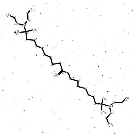 CCO[SiH](OCC)C(C)(C)CCCCCCCCC(=O)CCCCCCCCC(C)(C)[SiH](OCC)OCC